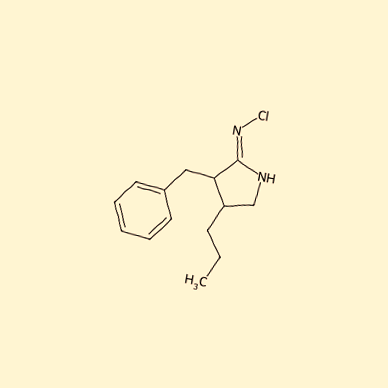 CCCC1CN/C(=N\Cl)C1Cc1ccccc1